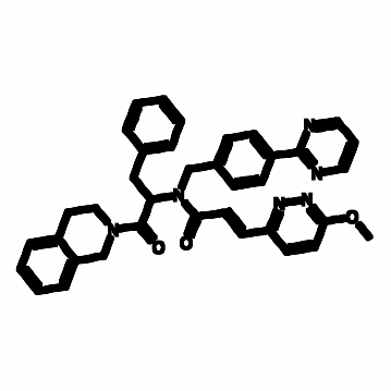 COc1ccc(C=CC(=O)N(Cc2ccc(-c3ncccn3)cc2)C(Cc2ccccc2)C(=O)N2CCc3ccccc3C2)nn1